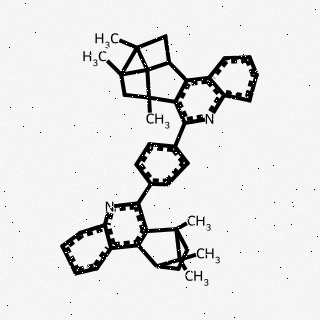 CC12CCC(c3c1c(-c1ccc(-c4nc5ccccc5c5c4C4(C)CC6(C)C7(C)CC5C476)cc1)nc1ccccc31)C2(C)C